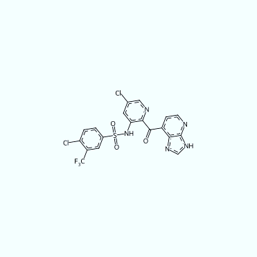 O=C(c1ncc(Cl)cc1NS(=O)(=O)c1ccc(Cl)c(C(F)(F)F)c1)c1ccnc2[nH]cnc12